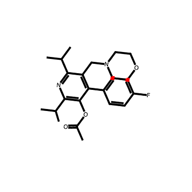 CC(=O)Oc1c(C(C)C)nc(C(C)C)c(CN2CCOCC2)c1-c1ccc(F)cc1